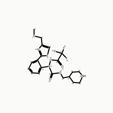 COCc1csc(-c2ccccc2N(OC(=O)C(F)(F)F)C(=O)OCC2CCNCC2)n1